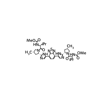 COC(=O)N[C@H](C(=O)N1C[C@@H](C)C[C@H]1c1ncc(-c2ccc(-c3cnc([C@@H]4C[C@H](C)CN4C(=O)[C@@H](NC(=O)OC)C(C)C)[nH]3)c3nsnc23)[nH]1)C(C)C